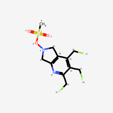 CS(=O)(=O)ON1Cc2nc(CF)c(CF)c(CF)c2C1